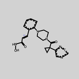 O=C(/C=C/c1ccccc1N1CCN(C(=O)C2(c3cnccn3)CC2)CC1)NO